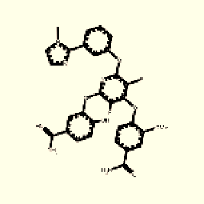 COc1cc(C(N)=O)ccc1Oc1c(F)c(Oc2cccc(-c3nccn3C)c2)nc(Oc2cc(C(=N)N)ccc2O)c1F